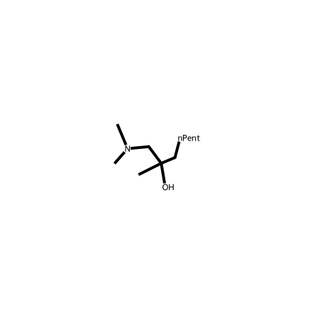 CCCCCCC(C)(O)CN(C)C